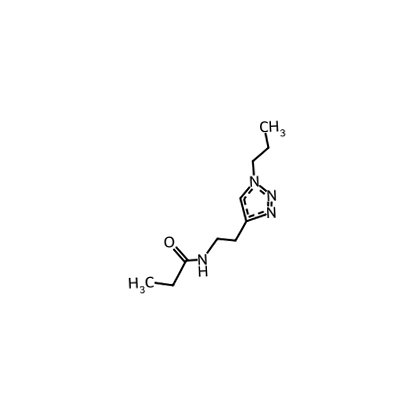 CCCn1cc(CCNC(=O)CC)nn1